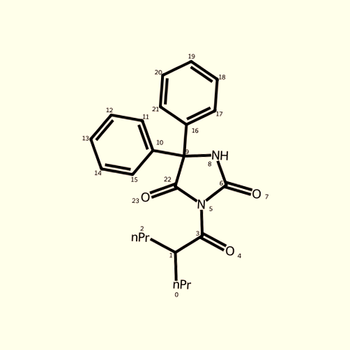 CCCC(CCC)C(=O)N1C(=O)NC(c2ccccc2)(c2ccccc2)C1=O